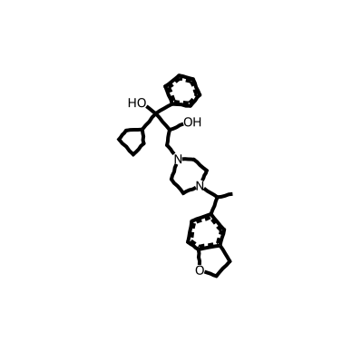 CC(c1ccc2c(c1)CCO2)N1CCN(CC(O)C(O)(c2ccccc2)C2CCCC2)CC1